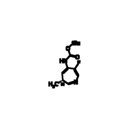 C[C@H]1C=NC=C(F)C(NC(=O)OC(C)(C)C)=C1